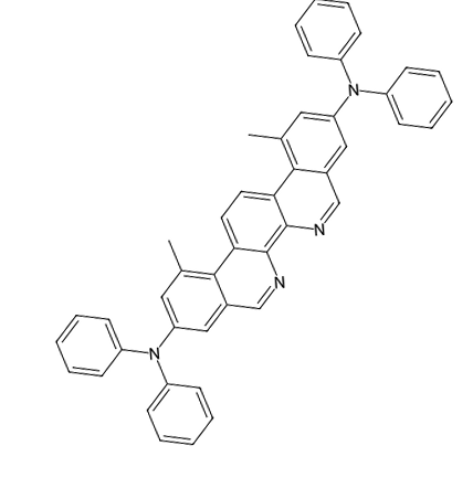 Cc1cc(N(c2ccccc2)c2ccccc2)cc2cnc3c(ccc4c3ncc3cc(N(c5ccccc5)c5ccccc5)cc(C)c34)c12